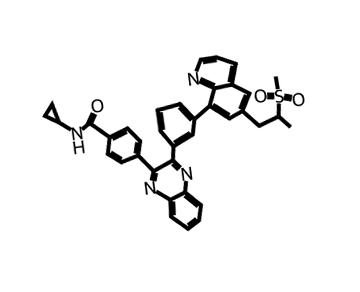 CC(Cc1cc(-c2cccc(-c3nc4ccccc4nc3-c3ccc(C(=O)NC4CC4)cc3)c2)c2ncccc2c1)S(C)(=O)=O